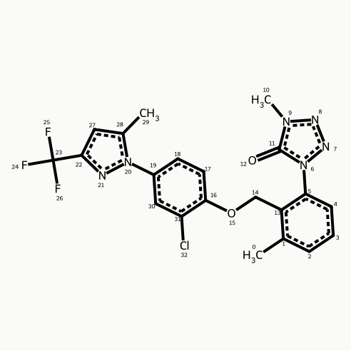 Cc1cccc(-n2nnn(C)c2=O)c1COc1ccc(-n2nc(C(F)(F)F)cc2C)cc1Cl